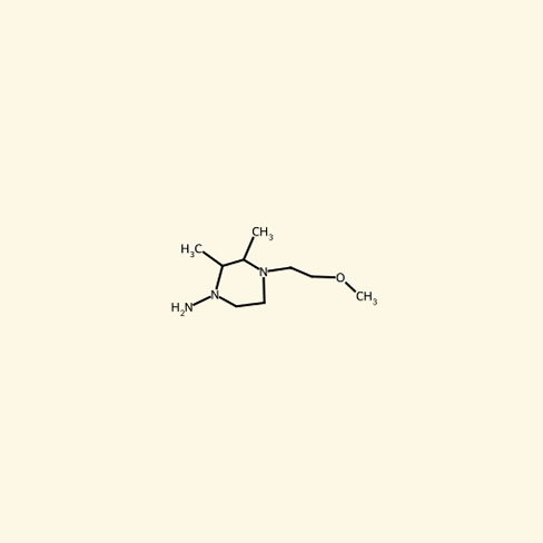 COCCN1CCN(N)C(C)C1C